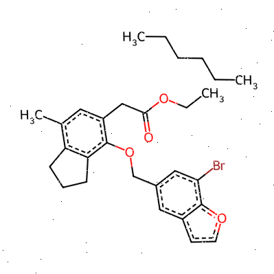 CCCCCC.CCOC(=O)Cc1cc(C)c2c(c1OCc1cc(Br)c3occc3c1)CCC2